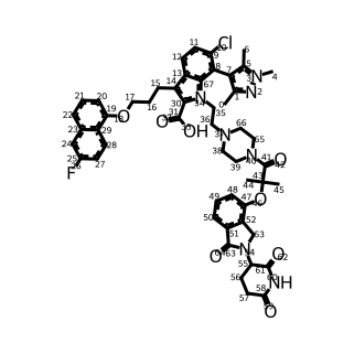 Cc1nn(C)c(C)c1-c1c(Cl)ccc2c(CCCOc3cccc4cc(F)ccc34)c(C(=O)O)n(CCN3CCN(C(=O)C(C)(C)Oc4cccc5c4CN(C4CCC(=O)NC4=O)C5=O)CC3)c12